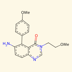 COCCn1cnc2ccc(N)c(-c3ccc(OC)cc3)c2c1=O